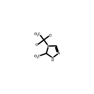 ClC(Cl)(Cl)C1NN=CN1C(Cl)(Cl)C(Cl)(Cl)Cl